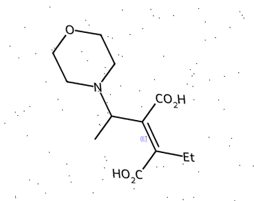 CC/C(C(=O)O)=C(\C(=O)O)C(C)N1CCOCC1